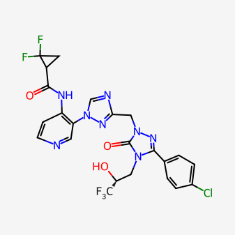 O=C(Nc1ccncc1-n1cnc(Cn2nc(-c3ccc(Cl)cc3)n(C[C@H](O)C(F)(F)F)c2=O)n1)C1CC1(F)F